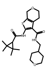 CC1(C)C(C(=O)Nc2sc3c(c2C(=O)NCC2CCOCC2)CCOC3)C1(C)C